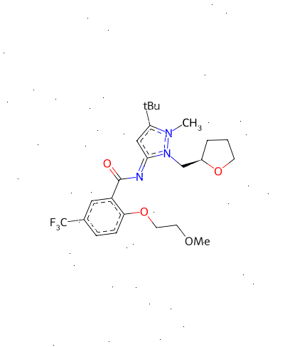 COCCOc1ccc(C(F)(F)F)cc1C(=O)/N=c1\cc(C(C)(C)C)n(C)n1C[C@H]1CCCO1